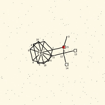 CC[C]12[CH]3[CH]4[CH]5[CH]1[Fe]45321678[CH]2[CH]1[CH]6[C]7(C(Cl)(Cl)Cl)[CH]28